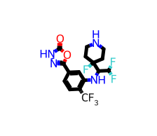 O=c1[nH]nc(-c2ccc(C(F)(F)F)c(NC(C(F)F)C3(F)CCNCC3)c2)o1